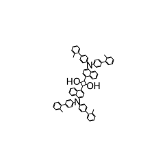 Cc1ccccc1-c1ccc(N(c2ccc(-c3ccccc3C)cc2)c2ccc(C3C(O)C(c4ccc(N(c5ccc(-c6ccccc6C)cc5)c5ccc(-c6ccccc6C)cc5)c5ccccc45)C3O)c3ccccc23)cc1